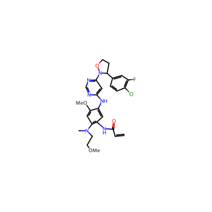 C=CC(=O)Nc1cc(Nc2cc(N3OCCC3c3ccc(Cl)c(F)c3)ncn2)c(OC)cc1N(C)CCOC